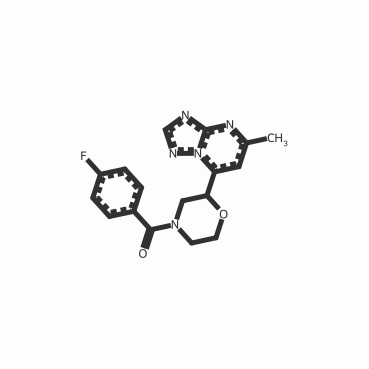 Cc1cc(C2CN(C(=O)c3ccc(F)cc3)CCO2)n2ncnc2n1